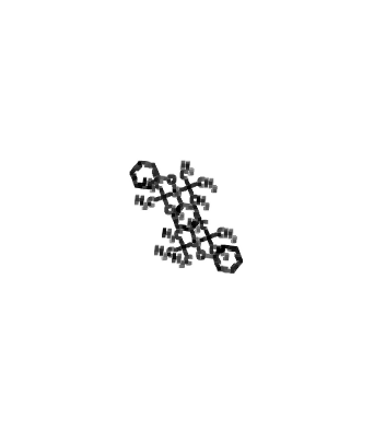 CC(C)(C)[Si](Oc1ccccc1)(c1ccc([Si](Oc2ccccc2)(C(C)(C)C)C(C)(C)C)cc1)C(C)(C)C